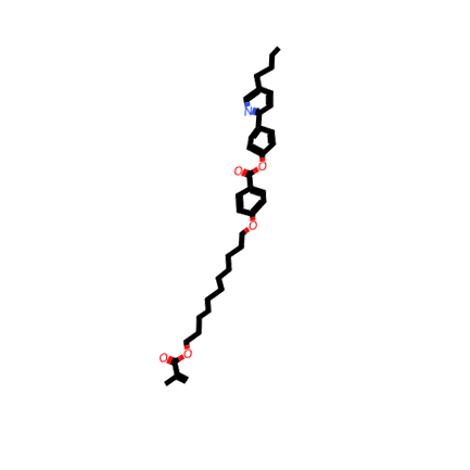 C=C(C)C(=O)OCCCCCCCCCCCOc1ccc(C(=O)Oc2ccc(-c3ccc(CCCC)cn3)cc2)cc1